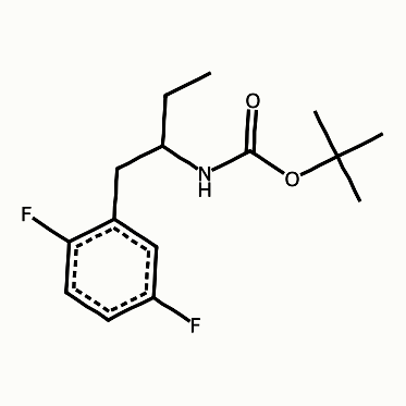 CCC(Cc1cc(F)ccc1F)NC(=O)OC(C)(C)C